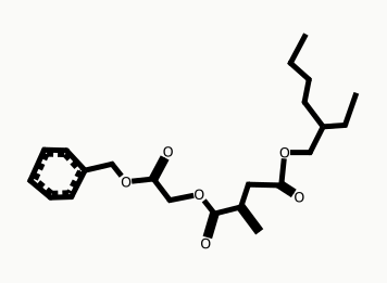 C=C(CC(=O)OCC(CC)CCCC)C(=O)OCC(=O)OCc1ccccc1